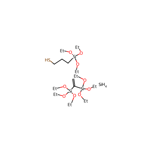 C=C([Si](OCC)(OCC)OCC)[Si](OCC)(OCC)OCC.CCO[Si](CCCS)(OCC)OCC.[SiH4]